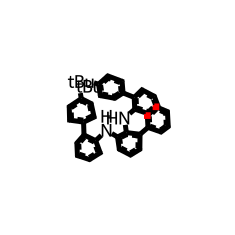 CC(C)(C)c1ccc(-c2ccccc2Nc2cccc(-c3ccccc3)c2Nc2ccccc2-c2ccc(C(C)(C)C)cc2)cc1